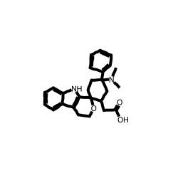 CN(C)C1(c2ccccc2)CCC2(OCCc3c2[nH]c2ccccc32)C(CC(=O)O)C1